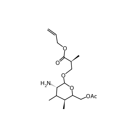 C=CCOC(=O)[C@@H](C)COC1OC(COC(C)=O)[C@@H](C)C(C)[C@@H]1N